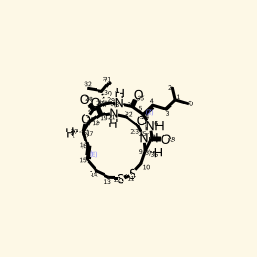 CC(C)C/C=C1\NC(=O)[C@H]2CSSCC/C=C/[C@H](CC(=O)NCC(=O)N2)OC(=O)[C@H](C(C)C)NC1=O